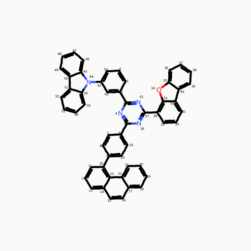 c1cc(-c2nc(-c3ccc(-c4cccc5ccc6ccccc6c45)cc3)nc(-c3cccc4c3oc3ccccc34)n2)cc(-n2c3ccccc3c3ccccc32)c1